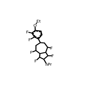 CCCC1C(F)C2C(F)CC(c3ccc(OCC)c(F)c3F)CC(F)C2C1F